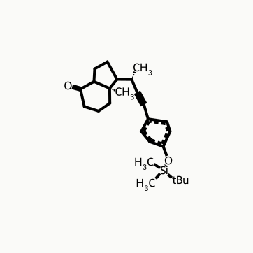 C[C@H](C#Cc1ccc(O[Si](C)(C)C(C)(C)C)cc1)C1CCC2C(=O)CCC[C@@]21C